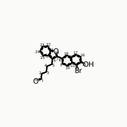 O=CCCCCc1c(-c2ccc3c(Br)c(O)ccc3c2)oc2ccccc12